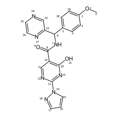 COc1ccc(C(NC(=O)c2cnc(-n3cccn3)nc2O)c2cnccn2)cc1